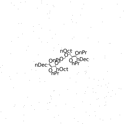 CCCCCCCCCCC(OCCC)=C(OCCC)C(CCCCCCCC)OCOCOC(CCCCCCCC)C(OCCC)=C(CCCCCCCCCC)OCCC